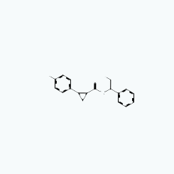 O=C(NC(CO)c1ccccc1)C1CC1c1ccc(O)cc1